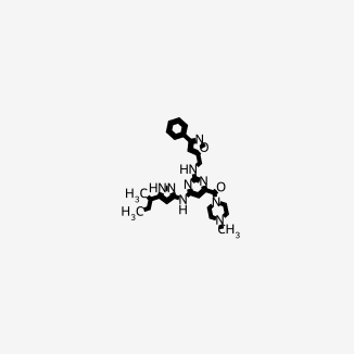 CCC(C)c1cc(Nc2cc(C(=O)N3CCN(C)CC3)nc(NCc3cc(-c4ccccc4)no3)n2)n[nH]1